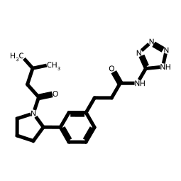 CC(C)CC(=O)N1CCCC1c1cccc(CCC(=O)Nc2nnn[nH]2)c1